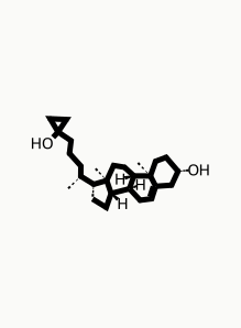 C[C@H](CCCC1(O)CC1)[C@H]1CC[C@H]2[C@@H]3CC=C4C[C@@H](O)CC[C@]4(C)[C@H]3CC[C@]12C